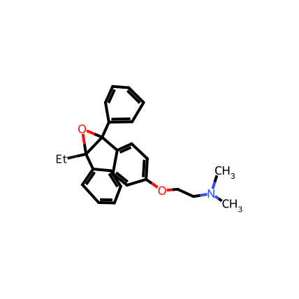 CCC1(c2ccccc2)OC1(c1ccccc1)c1ccc(OCCN(C)C)cc1